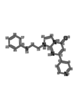 O=c1cc(-c2ccncc2)nc2n(CCSc3ccccc3)ccn12